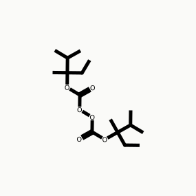 CCC(C)(OC(=O)OOC(=O)OC(C)(CC)C(C)C)C(C)C